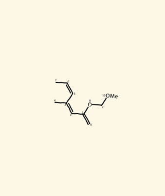 C=C(/C=C(C)\C=C/C)OCOC